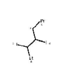 CC[C](I)C(I)CC(C)C